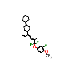 C=C/C(=C\C=C(/C)C(F)(F)Oc1ccc(OC(F)(F)F)c(F)c1)C1CCC(C2CCCCC2)CC1